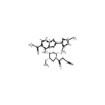 CC[C@H]1CN(C(=O)CC#N)CC[C@H]1Nc1c(C(N)=O)cnn2cc(-c3cn(C)nc3C)cc12